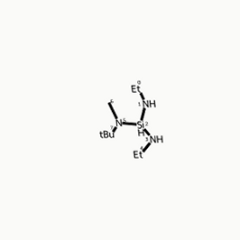 CCN[SiH](NCC)N(C)C(C)(C)C